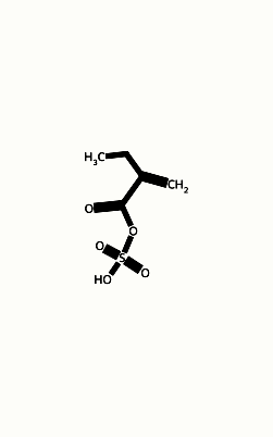 C=C(CC)C(=O)OS(=O)(=O)O